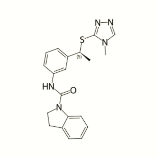 C[C@H](Sc1nncn1C)c1cccc(NC(=O)N2CCc3ccccc32)c1